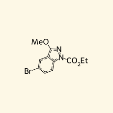 CCOC(=O)n1nc(OC)c2cc(Br)ccc21